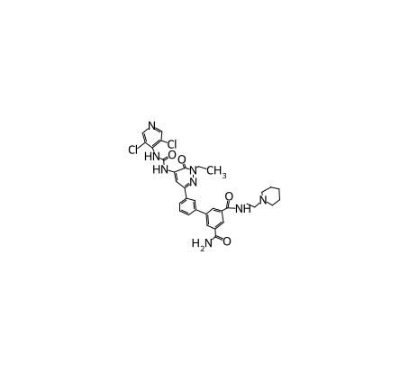 CCn1nc(-c2cccc(-c3cc(C(N)=O)cc(C(=O)NCCN4CCCCC4)c3)c2)cc(NC(=O)Nc2c(Cl)cncc2Cl)c1=O